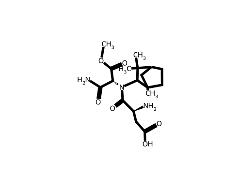 COC(=O)[C@@H](C(N)=O)N(C(=O)[C@@H](N)CC(=O)O)C1C2(C)CCC(C2)C1(C)C